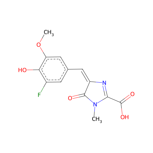 COc1cc(/C=C2/N=C(C(=O)O)N(C)C2=O)cc(F)c1O